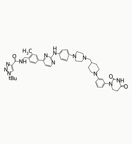 Cc1cc(-c2ccnc(Nc3ccc(N4CCN(CC5CCN(c6cccc(N7CCC(=O)NC7=O)c6)CC5)CC4)cc3)n2)ccc1CNC(=O)c1cn(C(C)(C)C)nn1